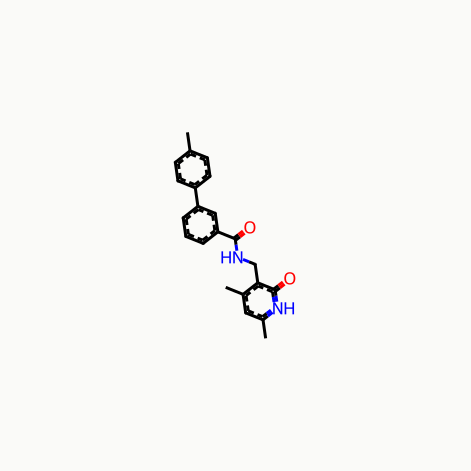 Cc1ccc(-c2cccc(C(=O)NCc3c(C)cc(C)[nH]c3=O)c2)cc1